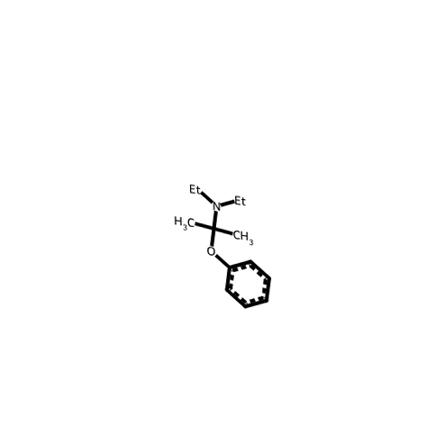 CCN(CC)C(C)(C)Oc1ccccc1